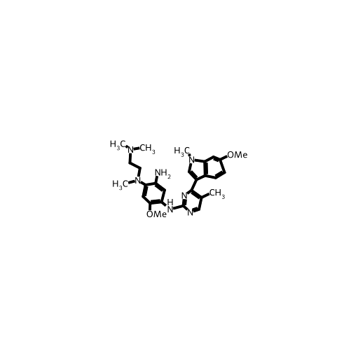 COc1ccc2c(-c3nc(Nc4cc(N)c(N(C)CCN(C)C)cc4OC)ncc3C)cn(C)c2c1